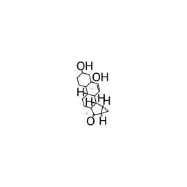 C[C@]12CC[C@H]3[C@@H](C=C[C@]4(O)C[C@H](O)CC[C@]34C)[C@@H]1[C@@H]1C[C@@H]1C2=O